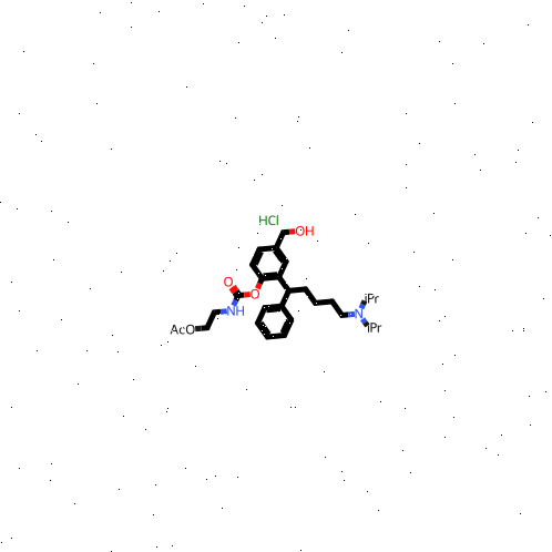 CC(=O)OCCNC(=O)Oc1ccc(CO)cc1C(CCCCN(C(C)C)C(C)C)c1ccccc1.Cl